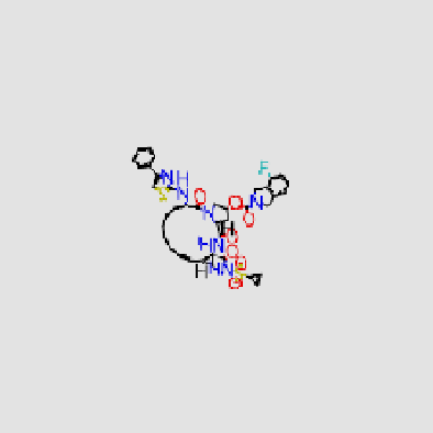 O=C1N[C@]2(C(=O)NS(=O)(=O)C3CC3)C[C@H]2/C=C\CCCCC[C@H](Nc2nc(-c3ccccc3)cs2)C(=O)N2C[C@H](OC(=O)N3Cc4cccc(F)c4C3)C[C@@H]12